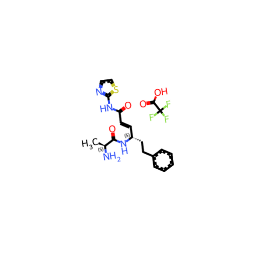 C[C@H](N)C(=O)N[C@H](C=CC(=O)Nc1nccs1)CCc1ccccc1.O=C(O)C(F)(F)F